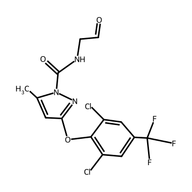 Cc1cc(Oc2c(Cl)cc(C(F)(F)F)cc2Cl)nn1C(=O)NCC=O